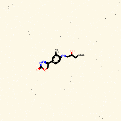 COCC(O)CNc1ccc(C2=NNC(=O)OC2)cc1C(F)(F)F